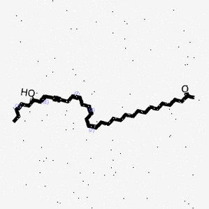 CC/C=C\C[C@H](O)/C=C/C#CC/C=C\C/C=C\C/C=C\CCCCCCCCCCCCCCC(C)=O